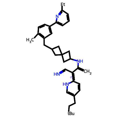 C=C(NC1CC2(CC(Cc3cc(-c4cccc(CC)n4)ccc3C)C2)C1)/C(C=N)=C1\C=CC(CCC(C)(C)C)=CN1